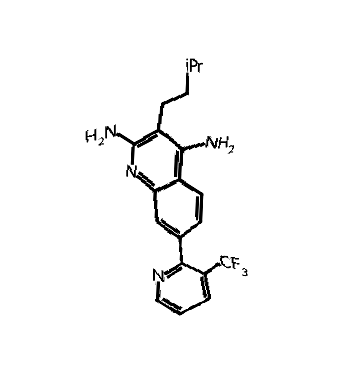 CC(C)CCc1c(N)nc2cc(-c3ncccc3C(F)(F)F)ccc2c1N